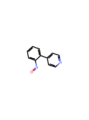 O=Nc1ccccc1-c1ccncc1